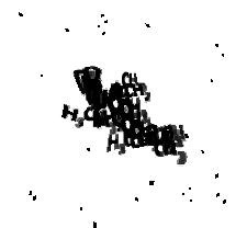 C=C(C)[C@@H]1CC[C@]2(NCC(C(C)N)N3CCS(=O)(=O)CC3)CC[C@]3(C)[C@H](CC[C@@H]4[C@@]5(C)CC[C@H](OC(=O)CC(C)(C)C(=O)O)C(C)(C)[C@@H]5CC[C@]43C)[C@@H]12